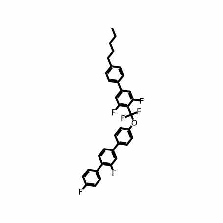 CCCCCc1ccc(-c2cc(F)c(C(F)(F)Oc3ccc(-c4ccc(-c5ccc(F)cc5)c(F)c4)cc3)c(F)c2)cc1